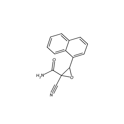 N#CC1(C(N)=O)OC1c1cccc2ccccc12